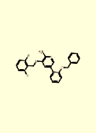 Nc1ncc(-c2ccccc2OCc2ccccc2)cc1OCc1c(Cl)cccc1Cl